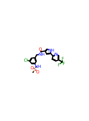 CS(=O)(=O)Nc1cc(Cl)cc(CNC(=O)c2c[nH]c(-c3ccc(C(F)(F)F)cn3)c2)c1